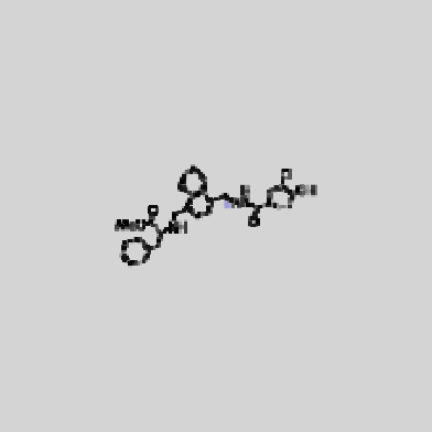 COC(=O)C(Cc1ccccc1)NCc1ccc(/C=N/NC(=O)c2ccc(O)c(Cl)c2)c2ccccc12